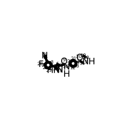 N#Cc1cc(-c2cc(C(=O)Nc3ccc([C@H]4CNCCO4)cc3)n[nH]2)ccc1F